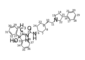 C[C@H](NC(=O)N[C@H]1CC[C@H](CCN2CCC(c3ccccc3)C2)CC1)C(O)(c1ccccc1)c1ccccc1